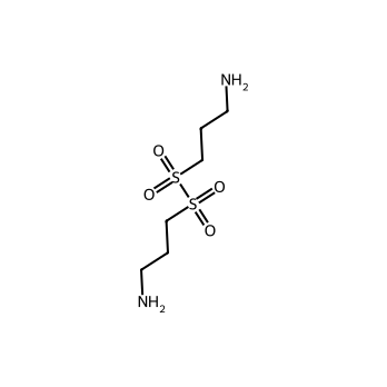 NCCCS(=O)(=O)S(=O)(=O)CCCN